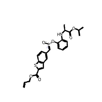 C=CCOC(=O)c1cc2cc(/C=[P+](\[O-])Oc3ccccc3NC(C)C(=O)OC(C)C)ccc2s1